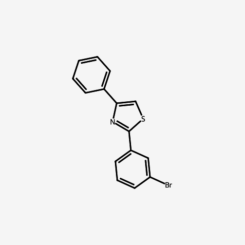 Brc1cccc(-c2nc(-c3ccccc3)cs2)c1